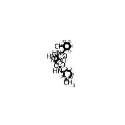 CN1C=CC=CC(NC(=O)Oc2n[nH]c(NC(=O)c3ccccc3Cl)c2Cl)=C1